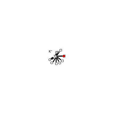 [K+].[O]=[Ta](=[O])([O-])([Cl])([Cl])([Cl])([Cl])([Cl])([Cl])[Cl]